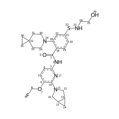 O=C(Nc1ccc(OCF)c(N2CC3CC3C2)n1)c1ccc(SNCCO)cc1N1CCC2(CC1)CC2